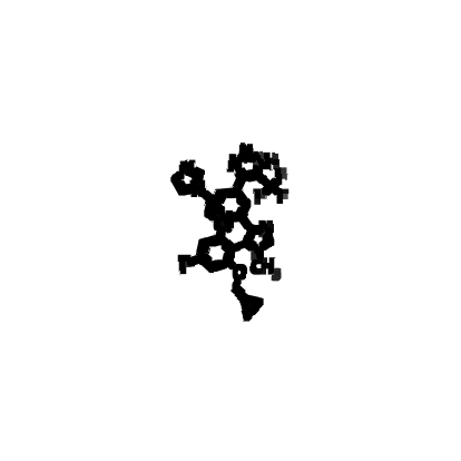 Cn1cnc(-c2cc(-c3nn[nH]c3C(F)(F)F)ccn2)c1-c1c(OCCn2ccnc2)cc(F)cc1OCC1CC1